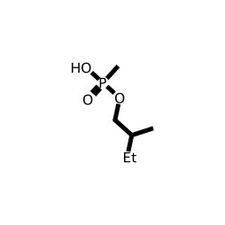 CCC(C)COP(C)(=O)O